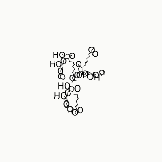 CC(C)OC(=O)CCC/C=C\CC1C(=O)CC(O)C1OCC(O)COc1ccccc1.COC(=O)CCC/C=C/C[C@H]1C(=O)CC(O)[C@@H]1OCC(O)COc1ccccc1.COC(=O)CCC/C=C\C[C@H]1C(=O)C[C@@H](O)[C@@H]1OC[C@@](C)(O)COc1ccccc1